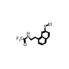 CCSc1ccc2cccc(CCNC(=O)C(F)(F)F)c2c1